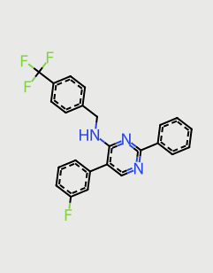 Fc1cccc(-c2cnc(-c3ccccc3)nc2NCc2ccc(C(F)(F)F)cc2)c1